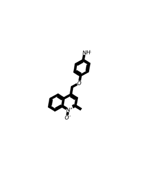 Cc1cc(COc2ccc([NH])cc2)c2ccccc2[n+]1[O-]